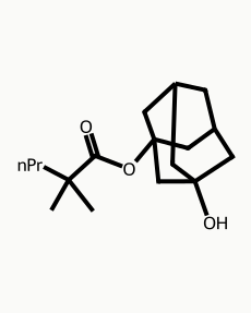 CCCC(C)(C)C(=O)OC12CC3CC(CC(O)(C3)C1)C2